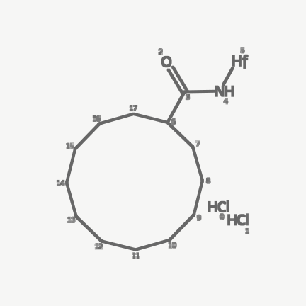 Cl.Cl.O=C([NH][Hf])C1CCCCCCCCCCC1